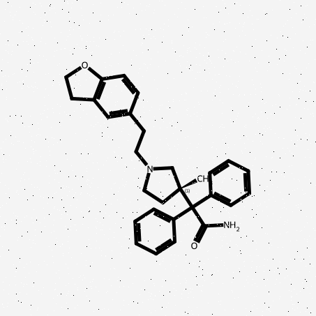 C[C@@]1(C(C(N)=O)(c2ccccc2)c2ccccc2)CCN(CCc2ccc3c(c2)CCO3)C1